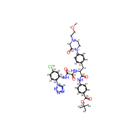 COCCN1CCN(c2ccc(CC(NC(=O)C(=O)Nc3cc(Cl)ccc3-n3cnnn3)C(=O)Nc3ccc(C(=O)OC(C)(C)C)cc3)cc2)C(=O)C1